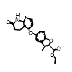 CCOC(=O)[C@@H]1Oc2ccc(Oc3ccnc4c3CCC(=O)N4)cc2C1C